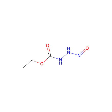 CCOC(=O)NNN=O